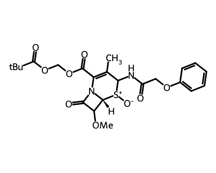 COC1C(=O)N2C(C(=O)OCOC(=O)C(C)(C)C)=C(C)C(NC(=O)COc3ccccc3)[S+]([O-])[C@H]12